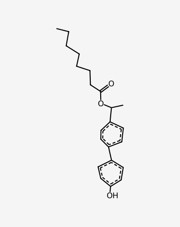 CCCCCCCC(=O)OC(C)c1ccc(-c2ccc(O)cc2)cc1